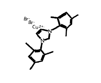 Cc1cc(C)c(N2C=CN(c3c(C)cc(C)cc3C)C2)c(C)c1.[Br-].[Br-].[Cu+2]